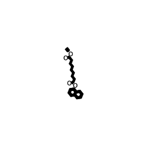 C#COC(=O)CCCCCCCC(=O)Oc1cccc2ccccc12